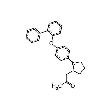 CC(=O)CC1CCCN1c1ccc(Oc2ccccc2-c2ccccc2)cc1